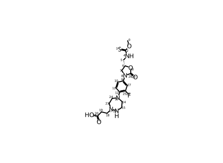 COC(=S)NC[C@H]1CN(c2ccc(N3CCNN(CCC(=O)O)CC3)c(F)c2)C(=O)O1